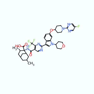 CC1CC2CC(C)C(NC(=O)c3cnc(-c4cn(C5CCOCC5)c5cc(OC6CCN(c7ncc(F)cn7)CC6)ccc45)nc3C(F)(F)F)(C(=O)O)C(C1)C2